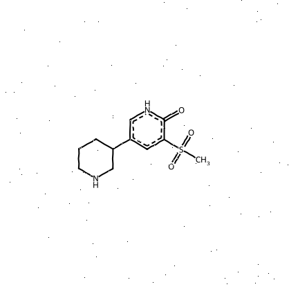 CS(=O)(=O)c1cc(C2CCCNC2)c[nH]c1=O